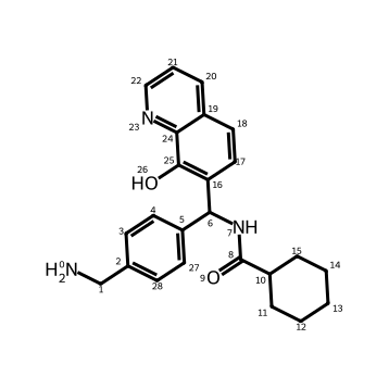 NCc1ccc(C(NC(=O)C2CCCCC2)c2ccc3cccnc3c2O)cc1